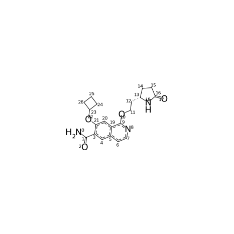 NC(=O)c1cc2ccnc(OCC[C@@H]3CCC(=O)N3)c2cc1OC1CCC1